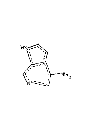 Nc1cncc2[nH]ccc12